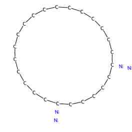 C1CCCCCCCCCCCCCCCCCCCCCCC1.[N].[N].[N].[N]